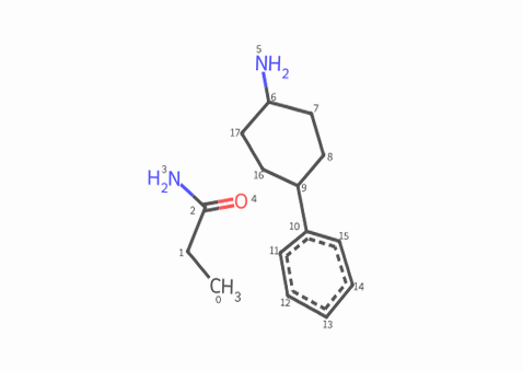 CCC(N)=O.NC1CCC(c2ccccc2)CC1